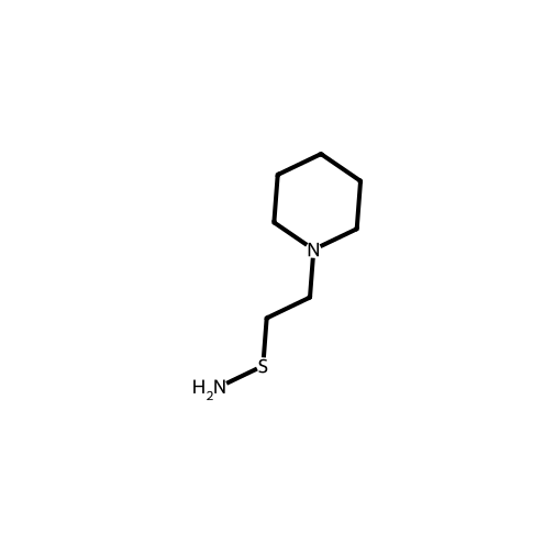 NSCCN1CCCCC1